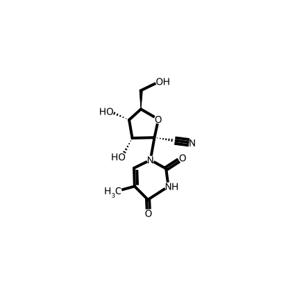 Cc1cn([C@]2(C#N)O[C@H](CO)[C@@H](O)[C@H]2O)c(=O)[nH]c1=O